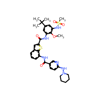 COc1c(NC(=O)c2cc3cccc(NC(=O)c4ccc(NN5CCCCC5)nc4)c3s2)cc(C(C)(C)C)cc1NS(C)(=O)=O